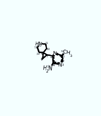 Cc1cnc(N)c(C2CC23CCNCC3)n1